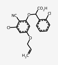 C=CCOc1cc(Cl)c(C#N)c(OC(C(=O)O)c2ccccc2Cl)c1